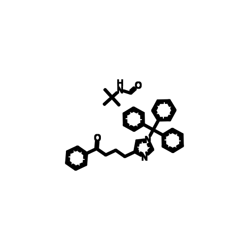 CC(C)(C)NC=O.O=C(CCCc1cn(C(c2ccccc2)(c2ccccc2)c2ccccc2)cn1)c1ccccc1